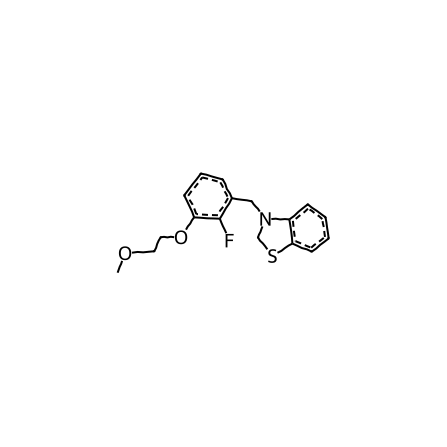 COCCOc1cccc(CN2CSc3ccccc32)c1F